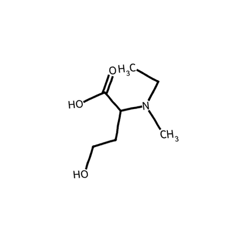 CCN(C)C(CCO)C(=O)O